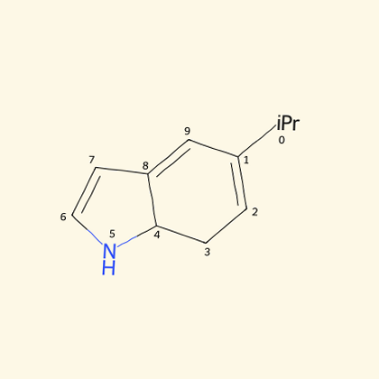 CC(C)C1=CCC2NC=CC2=C1